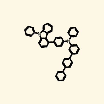 c1ccc(-c2ccc(-c3cccc(N(c4ccccc4)c4ccc(-c5cccc6c5c5ccccc5n6-c5ccccc5)cc4)c3)cc2)cc1